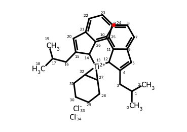 CC(C)CC1=Cc2ccccc2[CH]1[Ti+2]1([CH]2C(CC(C)C)=Cc3ccccc32)[CH]2CCCC[CH]21.[Cl-].[Cl-]